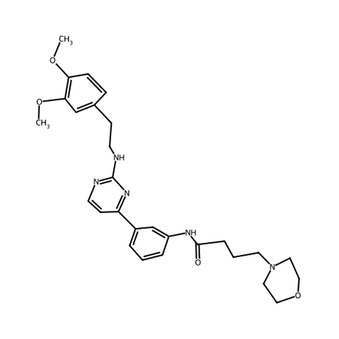 COc1ccc(CCNc2nccc(-c3cccc(NC(=O)CCCN4CCOCC4)c3)n2)cc1OC